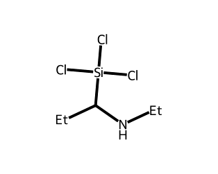 CCNC(CC)[Si](Cl)(Cl)Cl